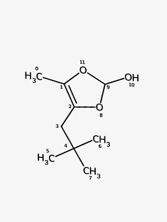 CC1=C(CC(C)(C)C)OC(O)O1